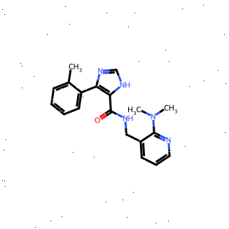 Cc1ccccc1-c1nc[nH]c1C(=O)NCc1cccnc1N(C)C